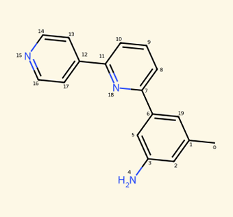 Cc1cc(N)cc(-c2cccc(-c3ccncc3)n2)c1